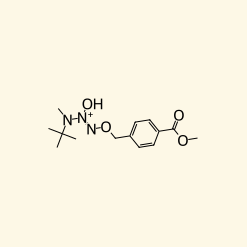 COC(=O)c1ccc(CO/N=[N+](\O)N(C)C(C)(C)C)cc1